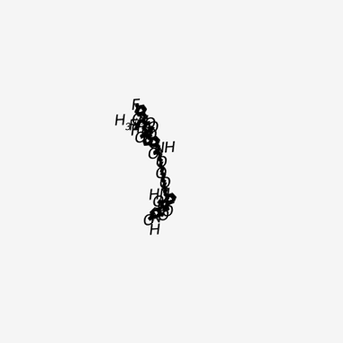 C[C@H](N(Cc1ccc(F)cc1)C(=O)CN1C(=O)O[C@@]2(CCc3cc(NC(=O)CCOCCOCCOCCNc4cccc5c4C(=O)N(C4CCC(=O)NC4=O)C5=O)ccc32)C1=O)C(F)(F)F